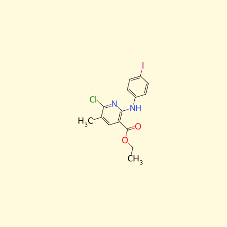 CCOC(=O)c1cc(C)c(Cl)nc1Nc1ccc(I)cc1